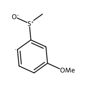 COc1cc[c]c([S+](C)[O-])c1